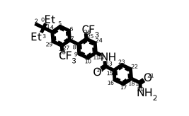 CCC(C)(CC)c1ccc(-c2ccc(NC(=O)c3ccc(C(N)=O)cc3)cc2C(F)(F)F)c(C(F)(F)F)c1